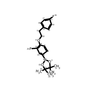 CC1(C)OB(c2ccc(OCCc3ccc(F)cc3)c(F)c2)OC1(C)C